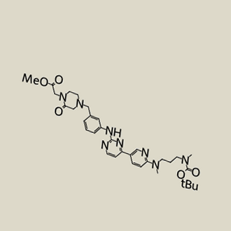 COC(=O)CN1CCN(Cc2cccc(Nc3nccc(-c4ccc(N(C)CCCN(C)C(=O)OC(C)(C)C)nc4)n3)c2)CC1=O